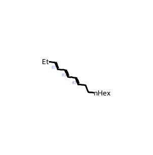 [CH2]CCCCCCC/C=C/C=C/C=C/CC